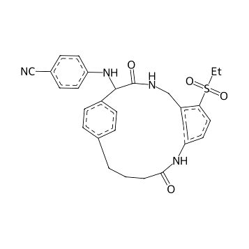 CCS(=O)(=O)c1ccc2cc1CNC(=O)C(Nc1ccc(C#N)cc1)c1ccc(cc1)CCCC(=O)N2